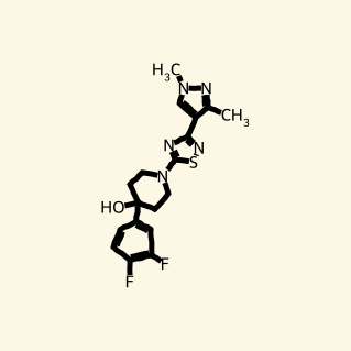 Cc1nn(C)cc1-c1nsc(N2CCC(O)(c3ccc(F)c(F)c3)CC2)n1